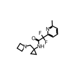 Cc1cccc(C(F)(F)C(=O)NC2(CN3CCC3)CC2)n1